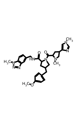 COc1ccc(CC2CC(C(=O)NCc3ccc4c(c3)nnn4C)N(C(=O)C3CC(c4cn(C)cn4)CN3C)C2)cc1